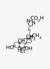 CC[C@H]1[C@@H](O)C2C3CC[C@H]([C@H](C)C/C=C/c4cnc(C(=O)O)nc4)[C@@]3(C)CCC2[C@@]2(C)CC[C@@H](O)C[C@@H]12